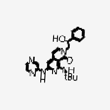 CC(C)(C)Nc1nc(Nc2cnccn2)cc2ccn(C[C@@H](O)c3ccccc3)c(=O)c12